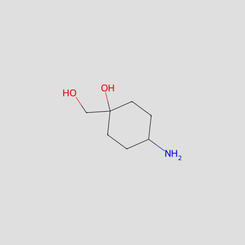 NC1CCC(O)(CO)CC1